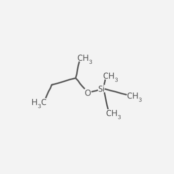 CCC(C)O[Si](C)(C)C